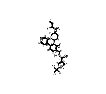 C=CC(=O)N(C)C1CCCN(c2cnccc2-c2ccc(CNC(=O)c3cnn(C(C)(C)C)c3)c(C)c2)C1